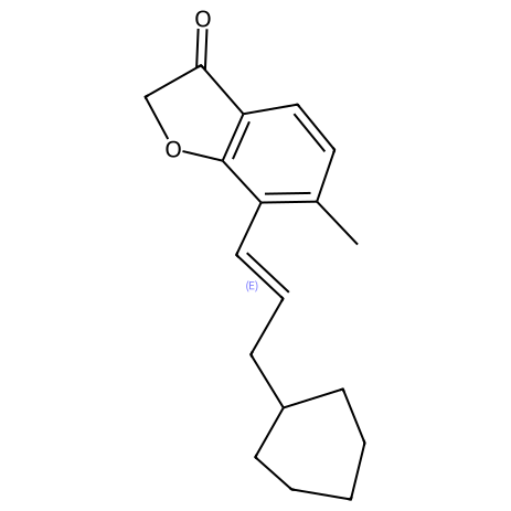 Cc1ccc2c(c1/C=C/CC1CCCCC1)OCC2=O